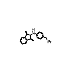 C=C1c2ccccc2C(=C)C1Nc1ccc(CC(C)C)cc1